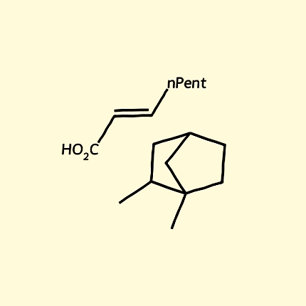 CC1CC2CCC1(C)C2.CCCCCC=CC(=O)O